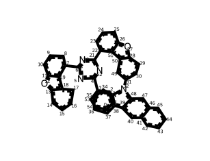 c1ccc(-c2nc(-c3cccc4oc5ccccc5c34)nc(-c3cccc4oc5ccc(-n6c7ccccc7c7cc8ccccc8cc76)cc5c34)n2)cc1